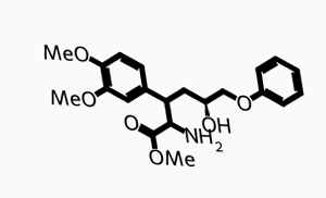 COC(=O)C(N)C(C[C@H](O)COc1ccccc1)c1ccc(OC)c(OC)c1